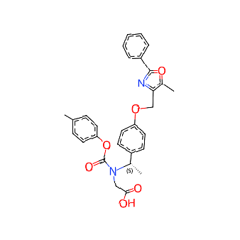 Cc1ccc(OC(=O)N(CC(=O)O)[C@@H](C)c2ccc(OCc3nc(-c4ccccc4)oc3C)cc2)cc1